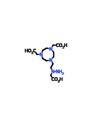 NN(CCN1CCN(CC(=O)O)CCN(CC(=O)O)CC1)CC(=O)O